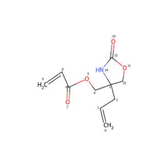 C=CCC1(COC(=O)C=C)COC(=O)N1